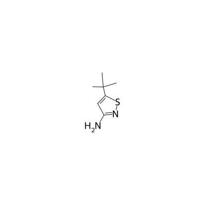 CC(C)(C)c1cc(N)ns1